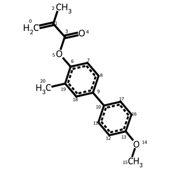 C=C(C)C(=O)Oc1ccc(-c2ccc(OC)cc2)cc1C